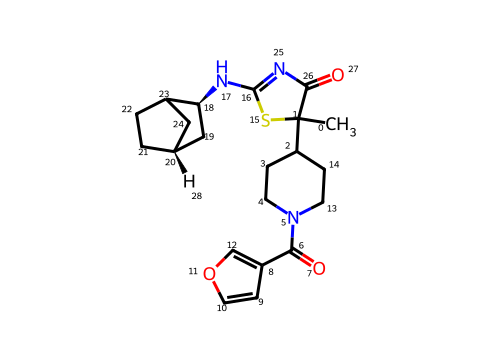 CC1(C2CCN(C(=O)c3ccoc3)CC2)SC(N[C@H]2C[C@@H]3CCC2C3)=NC1=O